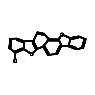 Clc1cccc2c1oc1c2ccc2c1ccc1c3ccccc3oc12